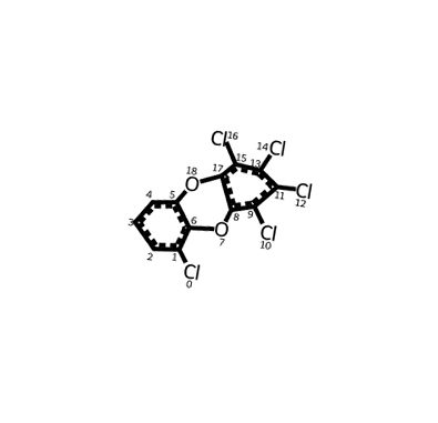 Clc1cccc2c1Oc1c(Cl)c(Cl)c(Cl)c(Cl)c1O2